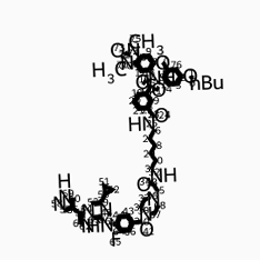 CCCCOc1cccc(Oc2cc3c(cc2NS(=O)(=O)c2cccc(C(=O)NCCCCCCNC(=O)CN4CCN(C(=O)c5ccc(Nc6nc(C7CC7)cn7c(-c8cn[nH]c8)cnc67)c(F)c5)CC4)c2)n(C)c(=O)n3C)c1